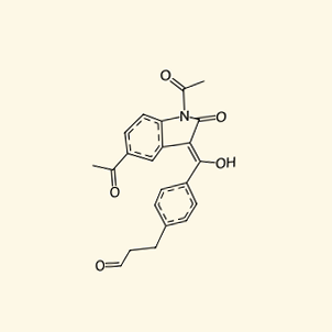 CC(=O)c1ccc2c(c1)/C(=C(/O)c1ccc(CCC=O)cc1)C(=O)N2C(C)=O